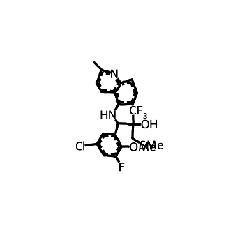 COc1c(F)cc(Cl)cc1C(Nc1cccc2nc(C)ccc12)C(O)(CSC)C(F)(F)F